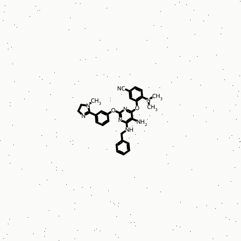 CN1CCN=C1c1cccc(Oc2nc(NCc3ccccc3)c(N)c(Oc3cc(C#N)ccc3N(C)C)n2)c1